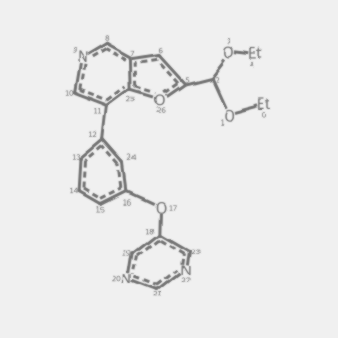 CCOC(OCC)c1cc2cncc(-c3cccc(Oc4cncnc4)c3)c2o1